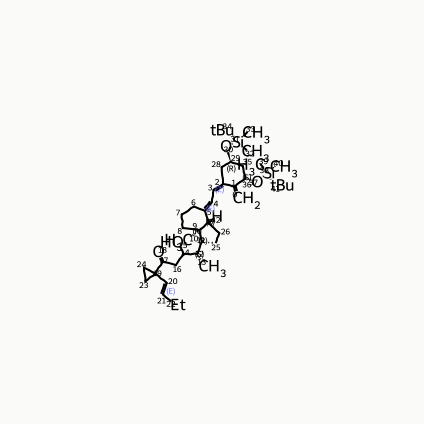 C=C1/C(=C\C=C2/CCC[C@]3(C)[C@@H]([C@H](C)C(O)CC(=O)C4(/C=C/CC)CC4)CC[C@@H]23)C[C@@H](O[Si](C)(C)C(C)(C)C)C[C@@H]1O[Si](C)(C)C(C)(C)C